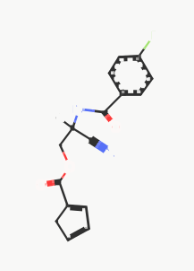 CC(C#N)(COC(=O)C1=CC=CC1)NC(=O)c1ccc(F)cc1